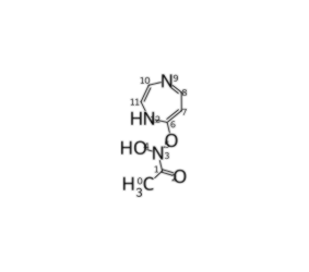 CC(=O)N(O)OC1=CC=NC=CN1